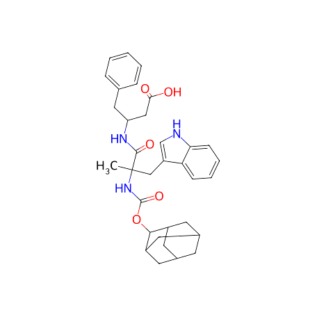 CC(Cc1c[nH]c2ccccc12)(NC(=O)OC1C2CC3CC(C2)CC1C3)C(=O)NC(CC(=O)O)Cc1ccccc1